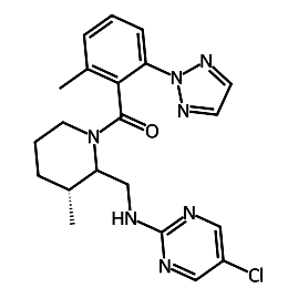 Cc1cccc(-n2nccn2)c1C(=O)N1CCC[C@@H](C)C1CNc1ncc(Cl)cn1